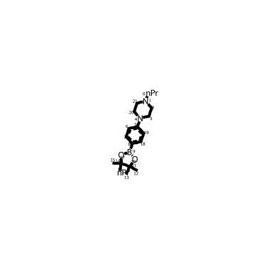 CCCN1CCN(c2ccc(B3OC(C)(C)C(C)(CCC)O3)cc2)CC1